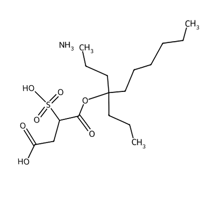 CCCCCCC(CCC)(CCC)OC(=O)C(CC(=O)O)S(=O)(=O)O.N